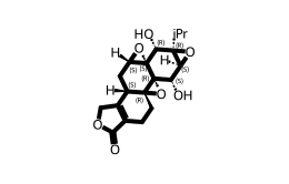 CC(C)[C@]12O[C@H]1[C@H](O)[C@@]13O[C@@]14CCC1=C(COC1=O)[C@@H]4C[C@@H]1O[C@@]13[C@@H]2O